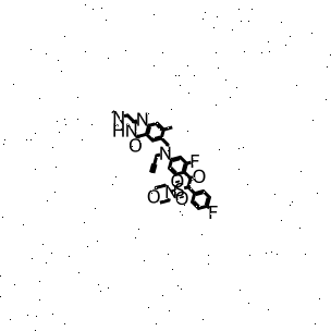 C#CCN(Cc1cc2c(=O)[nH]c(CN(C)C)nc2cc1C)c1ccc(C(=O)C(c2ccc(F)cc2)S(=O)(=O)N2CCOCC2)c(F)c1